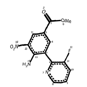 COC(=O)c1cc(-c2ncccc2F)c(N)c([N+](=O)[O-])c1